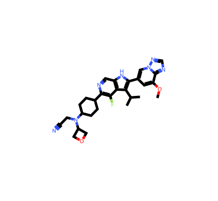 COc1cc(-c2[nH]c3cnc(C4CCC(N(CC#N)C5COC5)CC4)c(F)c3c2C(C)C)cn2ncnc12